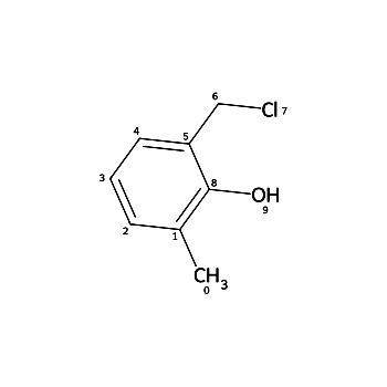 Cc1cccc(CCl)c1O